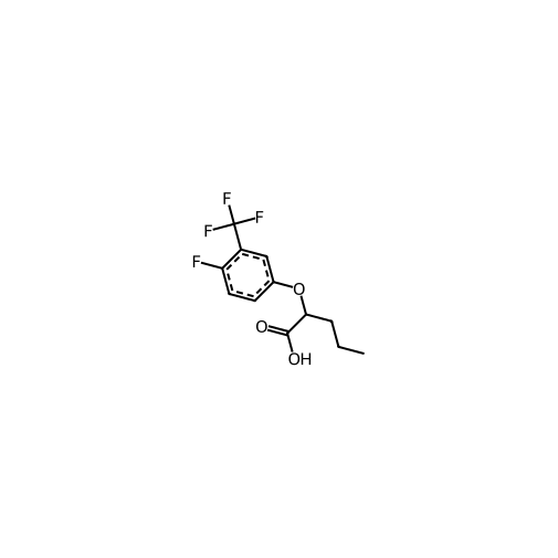 CCCC(Oc1ccc(F)c(C(F)(F)F)c1)C(=O)O